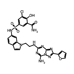 NC(=O)c1cc(S(=O)(=O)Nc2ccc3ccn(CCNc4nc(N)n5nc(-c6ccco6)nc5n4)c3c2)cc(Cl)c1O